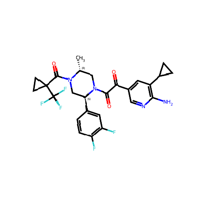 C[C@@H]1CN(C(=O)C(=O)c2cnc(N)c(C3CC3)c2)[C@@H](c2ccc(F)c(F)c2)CN1C(=O)C1(C(F)(F)F)CC1